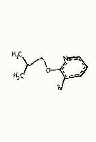 CC(C)COc1ncccc1Br